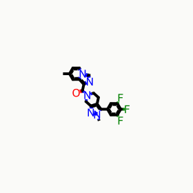 Cc1ccn2cnc(C(=O)N3CCc4c(nn(C)c4-c4cc(F)c(F)c(F)c4)C3)c2c1